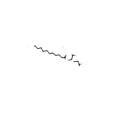 CCCCCCCCCCCC(=O)N[C@H](CCC(=O)O)C(=O)[O-].[Na+]